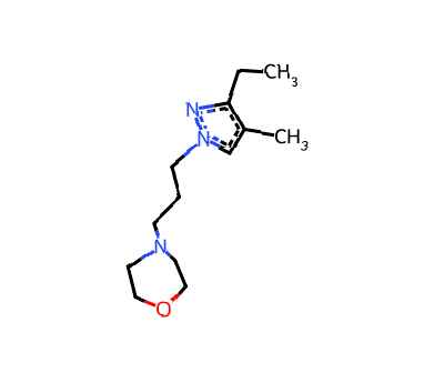 CCc1nn(CCCN2CCOCC2)cc1C